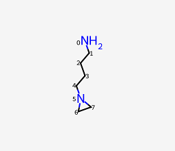 NCCCCN1CC1